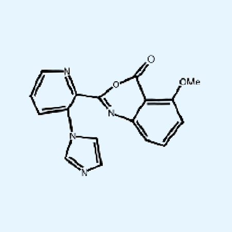 COc1cccc2nc(-c3ncccc3-n3ccnc3)oc(=O)c12